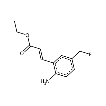 CCOC(=O)/C=C/c1cc(CF)ccc1N